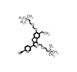 CCc1cc2c(cc1OCOCC[Si](C)(C)C)Cc1c(-c3ccc(C#N)nc3)nn(COCC[Si](C)(C)C)c1-2